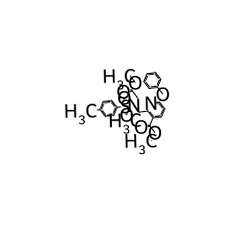 COC(=O)CN(C(C)c1nc(Oc2ccccc2)ccc1C(=O)OC)S(=O)(=O)c1ccc(C)cc1